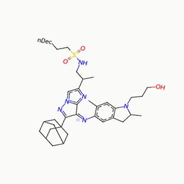 CCCCCCCCCCCCS(=O)(=O)NCC(C)c1cn2c(n1)/C(=N\c1cc3c(cc1C)N(CCCO)C(C)C3)C(C13CC4CC(CC(C4)C1)C3)=N2